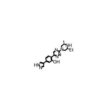 CC[C@H]1CN(c2ncc(-c3ccc(-c4cn[nH]c4)cc3O)nn2)C[C@@H](C)N1